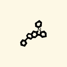 C1=C(c2ccccc2)CCc2cc3c(cc21)c1ccccc1n3-c1ccccc1